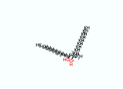 O=S(=O)(O)O.O=S(=O)(O)O.[KH].[KH].[KH].[KH].[KH].[KH].[KH].[KH].[KH].[KH].[KH].[KH].[KH].[KH].[KH].[KH].[KH].[KH]